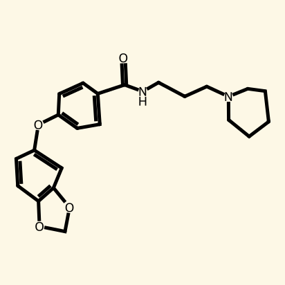 O=C(NCCCN1CCCCC1)c1ccc(Oc2ccc3c(c2)OCO3)cc1